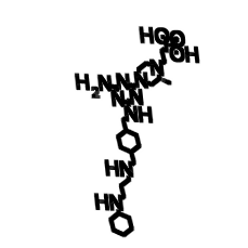 C[C@H]1CN(c2nc(N)nc(NCC3CCC(CNCCCNC4CCCCC4)CC3)n2)CCN1CCP(=O)(O)O